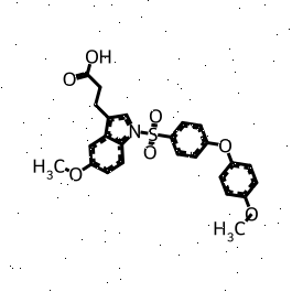 COc1ccc(Oc2ccc(S(=O)(=O)n3cc(CCC(=O)O)c4cc(OC)ccc43)cc2)cc1